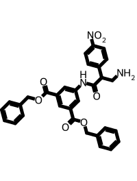 NCC(C(=O)Nc1cc(C(=O)OCc2ccccc2)cc(C(=O)OCc2ccccc2)c1)c1ccc([N+](=O)[O-])cc1